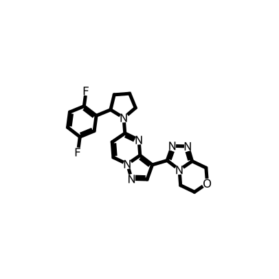 Fc1ccc(F)c(C2CCCN2c2ccn3ncc(-c4nnc5n4CCOC5)c3n2)c1